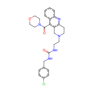 O=C(NCCN1CCc2nc3ccccc3c(C(=O)N3CCOCC3)c2C1)NCc1ccc(Cl)cc1